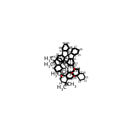 Cc1ccc2c(c1N(c1cc3c(cc1-c1ccc4c(c1)CCCC4)-c1ccccc1C31c3ccccc3-c3ccccc31)c1c(C)ccc3c1C(C)(C)CCC3(C)C)C(C)(C)CCC2(C)C